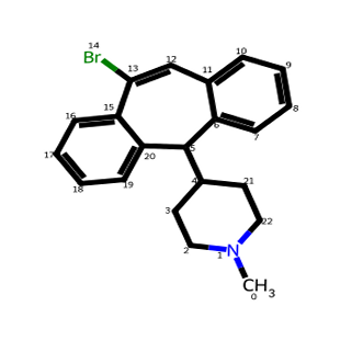 CN1CCC(C2c3ccccc3C=C(Br)c3ccccc32)CC1